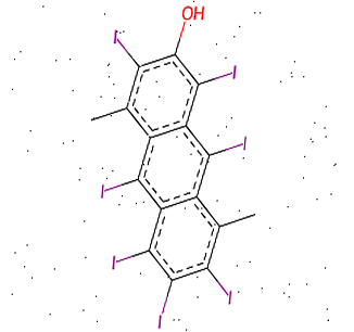 Cc1c(I)c(O)c(I)c2c(I)c3c(C)c(I)c(I)c(I)c3c(I)c12